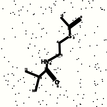 C=C(C)SCCNC(=O)C(C)C